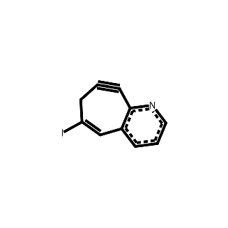 IC1=Cc2cccnc2C#CC1